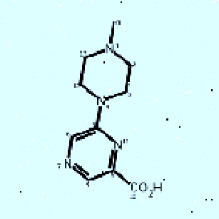 CN1CCN(c2cncc(C(=O)O)n2)CC1